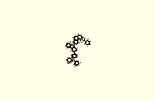 c1ccc(-c2nc3ccc4ccc5cc(-n6c7ccccc7c7cc(-c8ccc9c(c8)c8ccccc8n9-c8ccccc8)ccc76)ccc5c4c3o2)cc1